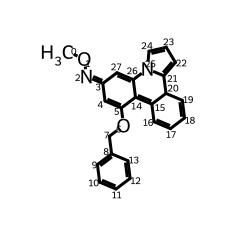 CON=C1C=C(OCc2ccccc2)C2=C3C=CC=CC3c3cccn3C2=C1